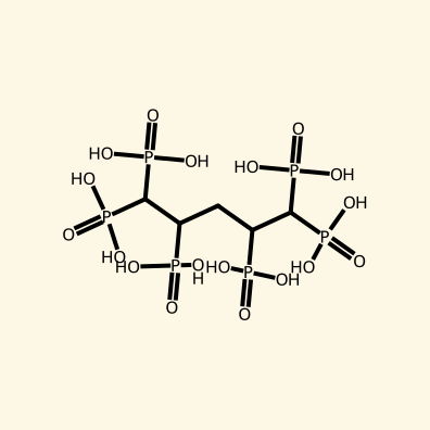 O=P(O)(O)C(CC(C(P(=O)(O)O)P(=O)(O)O)P(=O)(O)O)C(P(=O)(O)O)P(=O)(O)O